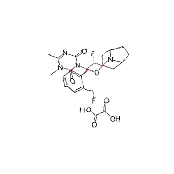 Cc1nc(=O)n(C[C@H](F)CN2C3CCC2CC(OCc2ccccc2CF)C3)c(=O)n1C.O=C(O)C(=O)O